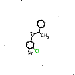 CC(C)c1ccc(C2CC2[C@H](C)c2ccccc2)cc1Cl